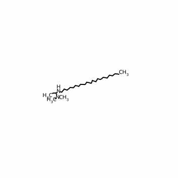 CCCCCCCCCCCCCCCCCCCCCCNC(CC)N(C)C